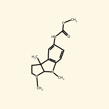 COC(=O)Nc1ccc2c(c1)C1(C)CCN(C)C1N2C